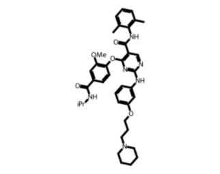 COc1cc(C(=O)NC(C)C)ccc1Oc1nc(Nc2cccc(OCCCN3CCCCC3)c2)ncc1C(=O)Nc1c(C)cccc1C